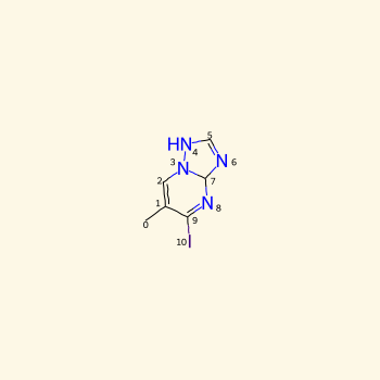 CC1=CN2NC=NC2N=C1I